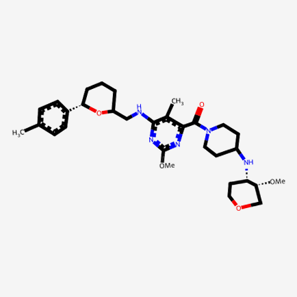 COc1nc(NCC2CCC[C@@H](c3ccc(C)cc3)O2)c(C)c(C(=O)N2CCC(N[C@H]3CCOC[C@H]3OC)CC2)n1